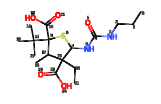 CCCNC(=O)NC1SC(C(=O)O)(C(C)(C)C)C(C)C1(CC)C(=O)O